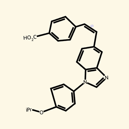 CC(C)Oc1ccc(-n2cnc3cc(/C=C\c4ccc(C(=O)O)cc4)ccc32)cc1